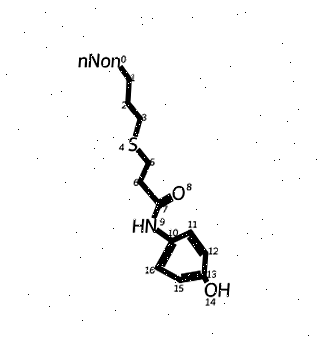 CCCCCCCCCCCCSCCC(=O)Nc1ccc(O)cc1